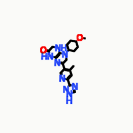 COC1CCC(N2CC(c3cnc(-c4nc[nH]n4)cc3C)=NC3=C2NCC(=O)N3)CC1